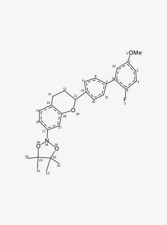 COc1ccc(F)c(-c2ccc(C3CCc4ccc(N5OC(C)(C)C(C)(C)O5)cc4O3)cc2)c1